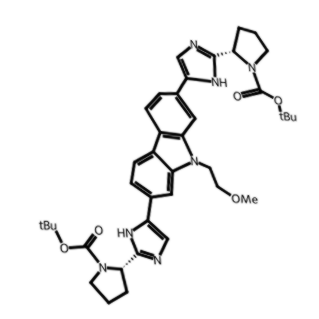 COCCn1c2cc(-c3cnc([C@@H]4CCCN4C(=O)OC(C)(C)C)[nH]3)ccc2c2ccc(-c3cnc([C@@H]4CCCN4C(=O)OC(C)(C)C)[nH]3)cc21